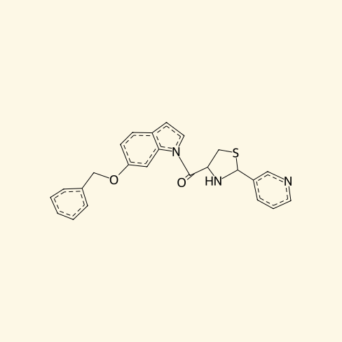 O=C(C1CSC(c2cccnc2)N1)n1ccc2ccc(OCc3ccccc3)cc21